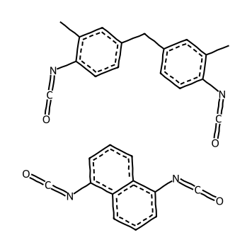 Cc1cc(Cc2ccc(N=C=O)c(C)c2)ccc1N=C=O.O=C=Nc1cccc2c(N=C=O)cccc12